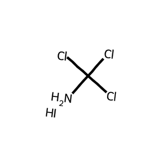 I.NC(Cl)(Cl)Cl